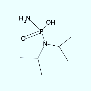 CC(C)N(C(C)C)P(N)(=O)O